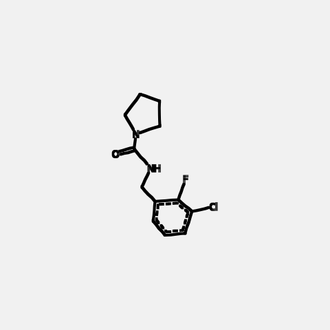 O=C(NCc1cccc(Cl)c1F)N1CCCC1